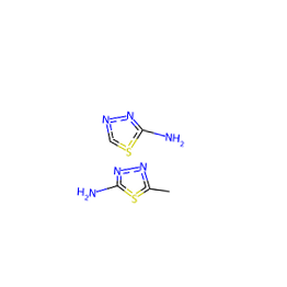 Cc1nnc(N)s1.Nc1nncs1